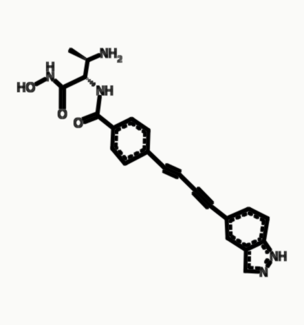 C[C@@H](N)[C@H](NC(=O)c1ccc(C#CC#Cc2ccc3[nH]ncc3c2)cc1)C(=O)NO